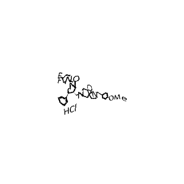 COc1ccc(CN2CCC3(CCN(C[C@H]4CN(C(=O)N5CCC(F)(F)C5)C[C@@H]4c4ccccc4)CC3)C2=O)cc1.Cl